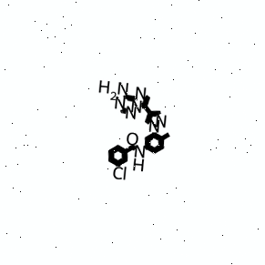 Cc1ccc(NC(=O)c2cccc(Cl)c2)cc1-n1cc(-c2cnc3c(N)ncnn23)cn1